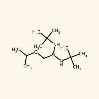 CC(C)OC[Si](NC(C)(C)C)NC(C)(C)C